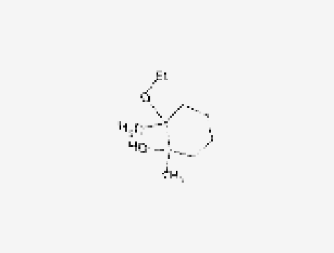 CCOC1(C)CCCCC1(C)O